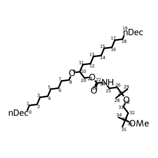 CCCCCCCCCCCCCCCCCCOC(CCCCCCCCCCCCCCCCCC)COC(=O)NCCC(C)(C)OCCC(C)(C)OC